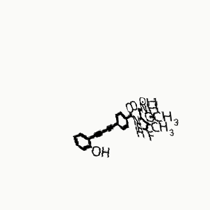 COC(C)(C(F)F)C(NC(=O)c1ccc(C#CC#Cc2ccccc2O)cc1)C(=O)NO